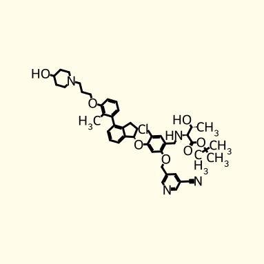 Cc1c(OCCCN2CCC(O)CC2)cccc1-c1cccc2c1CC[C@@H]2Oc1cc(OCc2cncc(C#N)c2)c(CN[C@H](C(=O)OC(C)(C)C)[C@@H](C)O)cc1Cl